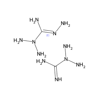 N/N=C(\N)N(N)N.N=C(N)N(N)N